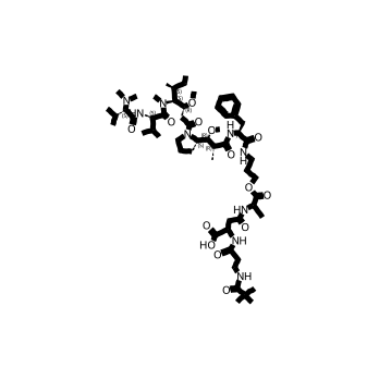 CC[C@H](C)[C@@H]([C@@H](CC(=O)N1CCC[C@H]1[C@H](OC)[C@@H](C)C(=O)N[C@@H](Cc1ccccc1)C(=O)NCCCOC(=O)C(C)NC(=O)CC(NC(=O)CCNC(=O)C(C)(C)C)C(=O)O)OC)N(C)C(=O)[C@@H](NC(=O)[C@H](C(C)C)N(C)C)C(C)C